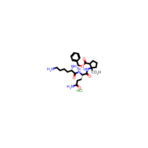 Cl.NCCCC[C@H](N)C(=O)N[C@@H](CCC(N)=O)C(=O)NC1(C(=O)O)CCCC1C(=O)OCc1ccccc1